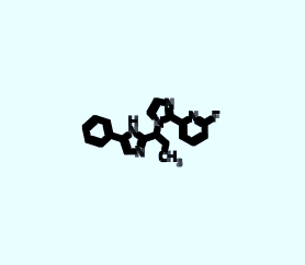 CCC(c1ncc(-c2ccccc2)[nH]1)n1ccnc1-c1cccc(F)n1